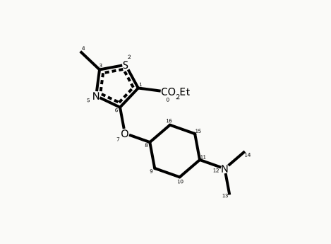 CCOC(=O)c1sc(C)nc1OC1CCC(N(C)C)CC1